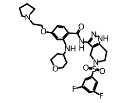 O=C(Nc1n[nH]c2c1CN(S(=O)(=O)c1cc(F)cc(F)c1)CC2)c1ccc(OCCN2CCCC2)cc1NC1CCOCC1